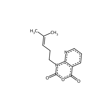 CC(C)=CCCn1c(=O)oc(=O)c2cccnc21